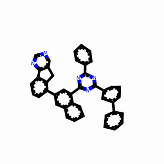 c1ccc(-c2cccc(-c3nc(-c4ccccc4)nc(-c4cc(-c5cccc6c5Cc5cncnc5-6)cc5ccccc45)n3)c2)cc1